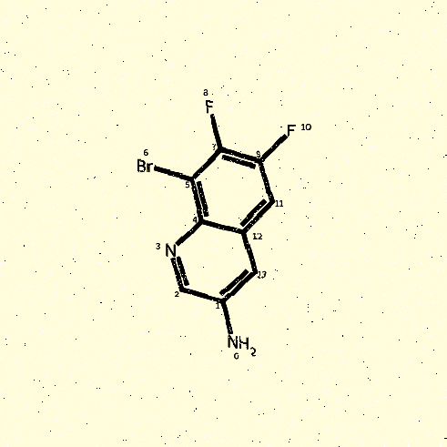 Nc1cnc2c(Br)c(F)c(F)cc2c1